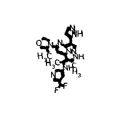 CC(=N)/C(=C(/C)Nc1cncc(C(F)F)c1)c1cc(N2CCOCC2C)nc2c(-c3ccn[nH]3)cnn12